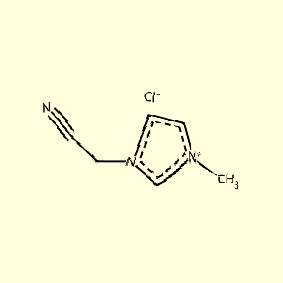 C[n+]1ccn(CC#N)c1.[Cl-]